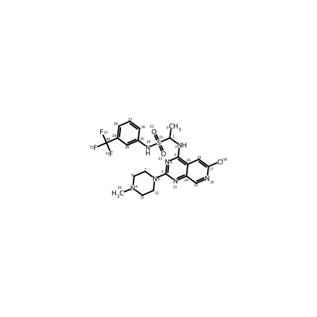 CC(Nc1nc(N2CCN(C)CC2)nc2cnc(Cl)cc12)S(=O)(=O)Nc1cccc(C(F)(F)F)c1